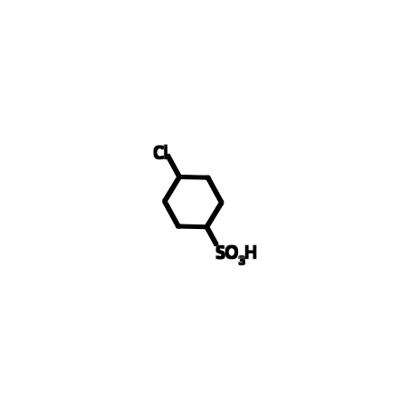 O=S(=O)(O)C1CCC(Cl)CC1